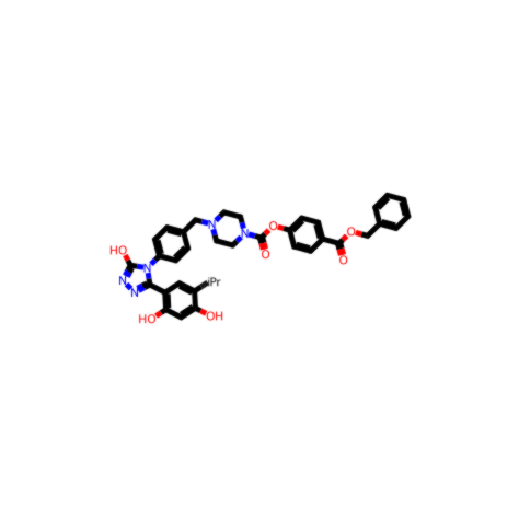 CC(C)c1cc(-c2nnc(O)n2-c2ccc(CN3CCN(C(=O)Oc4ccc(C(=O)OCc5ccccc5)cc4)CC3)cc2)c(O)cc1O